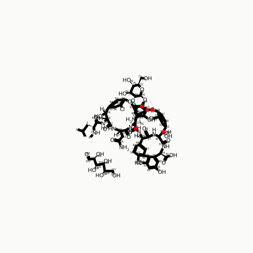 CN[C@H](CC(C)C)C(=O)N[C@H]1C(=O)N[C@@H](CC(N)=O)C(=O)N[C@H]2C(=O)N[C@H]3C(=O)N[C@H](C(=O)N[C@@H](C(=O)O)c4cc(O)cc(O)c4-c4cc3ccc4O)[C@H](O)c3ccc(c(Cl)c3)Oc3cc2cc(c3O[C@@H]2O[C@H](CO)[C@@H](O)[C@H](O)[C@H]2O[C@H]2C[C@](C)(N)C(O)[C@H](C)O2)Oc2ccc(cc2Cl)[C@H]1O.O=C[C@H](O)[C@@H](O)[C@@H](O)[C@H](O)CO